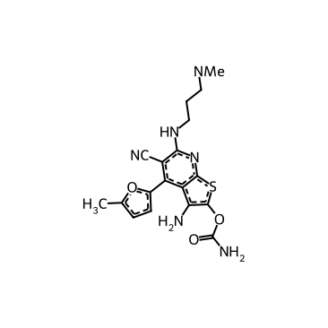 CNCCCNc1nc2sc(OC(N)=O)c(N)c2c(-c2ccc(C)o2)c1C#N